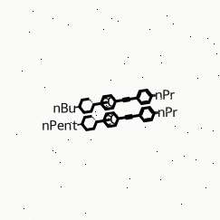 CCCCC[C@H]1CC[C@H](C23CCC(C#Cc4ccc(CCC)cc4)(CC2)CC3)CC1.CCCC[C@H]1CC[C@H](C23CCC(C#Cc4ccc(CCC)cc4)(CC2)CC3)CC1